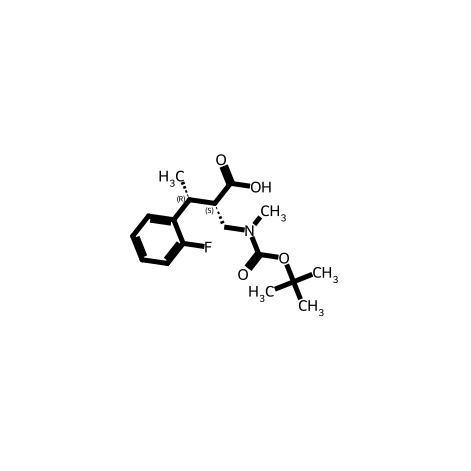 C[C@@H](c1ccccc1F)[C@@H](CN(C)C(=O)OC(C)(C)C)C(=O)O